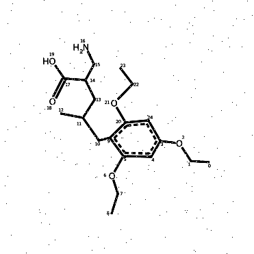 CCOc1cc(OCC)c(CC(C)CC(CN)C(=O)O)c(OCC)c1